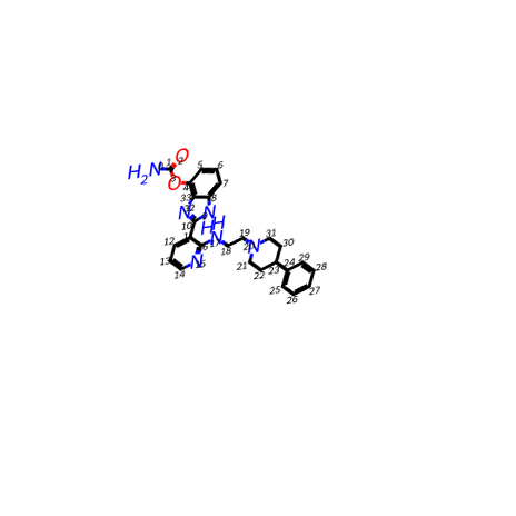 NC(=O)Oc1cccc2[nH]c(-c3cccnc3NCCN3CCC(c4ccccc4)CC3)nc12